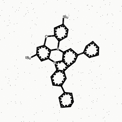 CC(C)(C)c1ccc2c(c1)Oc1cc(C(C)(C)C)cc3c1B2c1cc(-c2ccccc2)cc2c4cc(-c5ccccc5)ccc4n-3c12